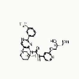 O=C(Nc1ccnc(OC[C@@H](O)CO)c1)N1c2nc(-c3cccc(C(F)(F)F)c3)ncc2N2CCC[C@H]1C2